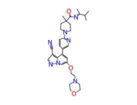 C/C(=N\C(=O)C1(C)CCN(c2ccc(-c3cc(OCCN4CCOCC4)cn4ncc(C#N)c34)cn2)CC1)C(C)C